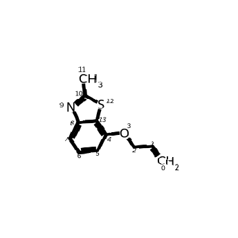 C=CCOc1cccc2nc(C)sc12